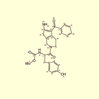 CC(C)(C)OC(=O)NC(Cc1ccc(O)cc1)C(=O)N1CCc2c(sc(N)c2C(=O)c2ccccc2)C1